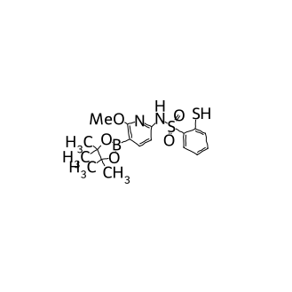 COc1nc(NS(=O)(=O)c2ccccc2S)ccc1B1OC(C)(C)C(C)(C)O1